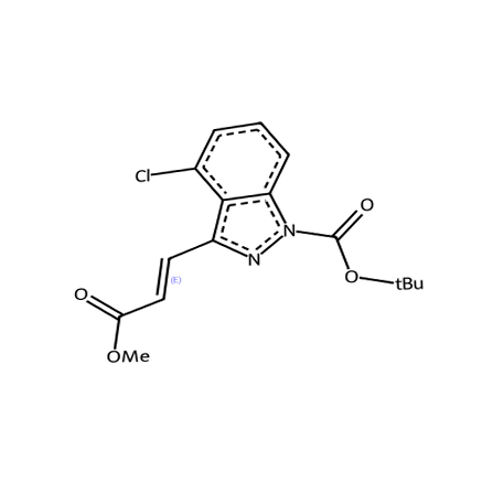 COC(=O)/C=C/c1nn(C(=O)OC(C)(C)C)c2cccc(Cl)c12